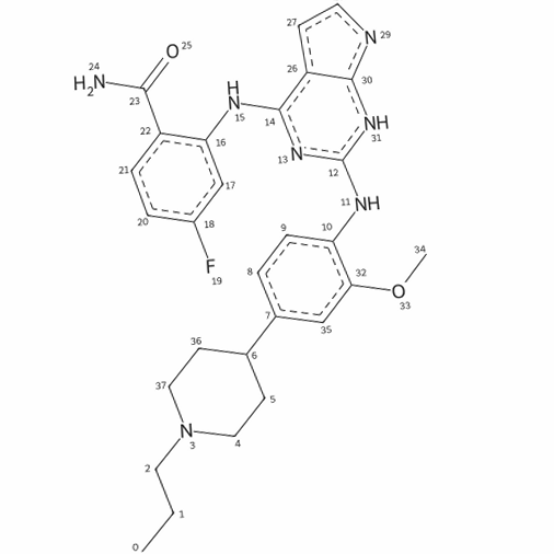 CCCN1CCC(c2ccc(Nc3nc(Nc4cc(F)ccc4C(N)=O)c4ccnc-4[nH]3)c(OC)c2)CC1